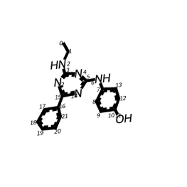 CCNc1nc(Nc2ccc(O)cc2)nc(-c2ccccc2)n1